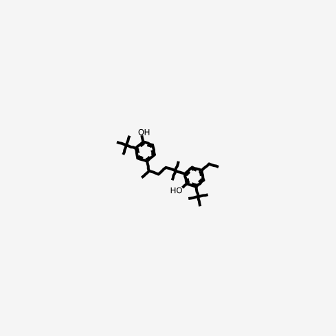 CCc1cc(C(C)(C)C)c(O)c(C(C)(C)CCC(C)c2ccc(O)c(C(C)(C)C)c2)c1